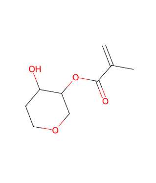 C=C(C)C(=O)OC1COCCC1O